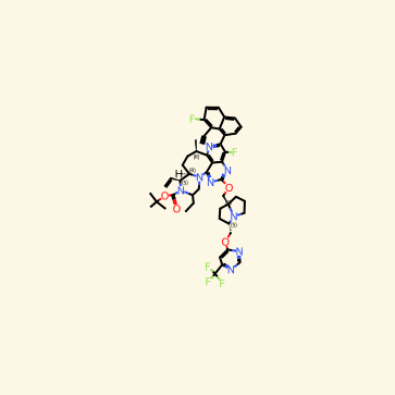 C#Cc1c(F)ccc2cccc(-c3nc4c5c(nc(OC[C@@]67CCCN6[C@H](COc6cc(C(F)(F)F)ncn6)CC7)nc5c3F)N3CC(CC)N(C(=O)OC(C)(C)C)[C@@H](C=C)[C@H]3CC[C@H]4C)c12